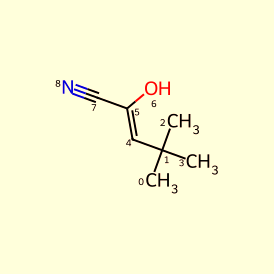 CC(C)(C)C=C(O)C#N